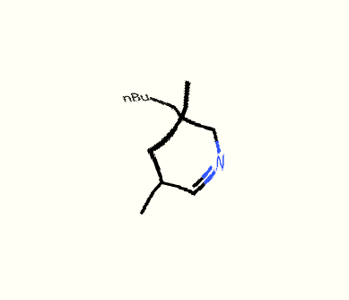 CCCCC1(C)CN=CC(C)C1